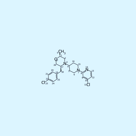 C[C@H]1CN(C2CCN(c3cc(Cl)ccn3)CC2)[C@@H](Cc2ccc(Cl)cc2)CO1